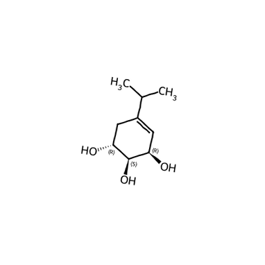 CC(C)C1=C[C@@H](O)[C@@H](O)[C@H](O)C1